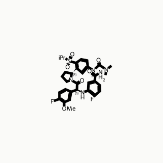 COc1cc([C@H](Nc2cc(C(N)=O)ccc2F)C(=O)N2CCC[C@@H]2c2cc(NC(=O)N(C)C)ccc2S(=O)(=O)C(C)C)ccc1F